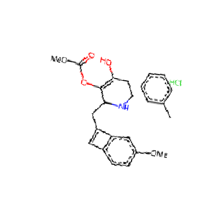 COC(=O)OC1=C(O)CCNC1CC1=Cc2ccc(OC)cc21.Cc1ccccc1.Cl